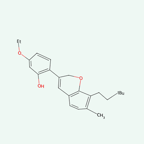 CCOc1ccc(C2=Cc3ccc(C)c(CCC(C)(C)C)c3OC2)c(O)c1